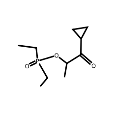 CCP(=O)(CC)OC(C)C(=O)C1CC1